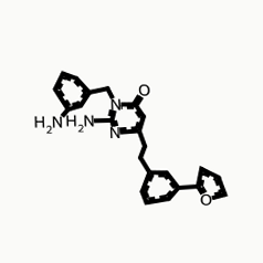 Nc1cccc(Cn2c(N)nc(CCc3cccc(-c4ccco4)c3)cc2=O)c1